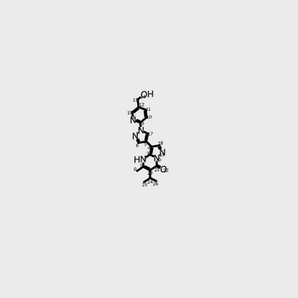 Cc1[nH]c2c(-c3cnn(-c4ccc(CO)cn4)c3)cnn2c(=O)c1C(C)C